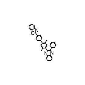 Cc1cc(-c2nc3ccccc3nc2-c2ccccc2)c(C)cc1-c1ccc(-c2nc3ccccc3o2)cc1